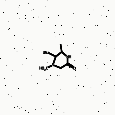 CC1NC(=O)CN(C(=O)O)C1C(C)(C)C